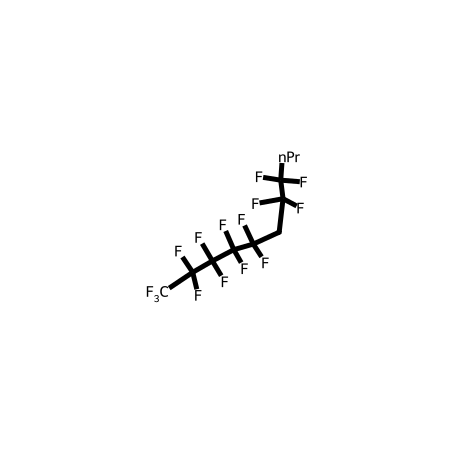 CCCC(F)(F)C(F)(F)CC(F)(F)C(F)(F)C(F)(F)C(F)(F)C(F)(F)F